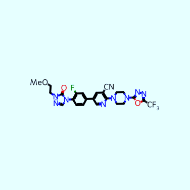 COCCn1ncn(-c2ccc(-c3cnc(N4CCN(c5nnc(C(F)(F)F)o5)CC4)c(C#N)c3)cc2F)c1=O